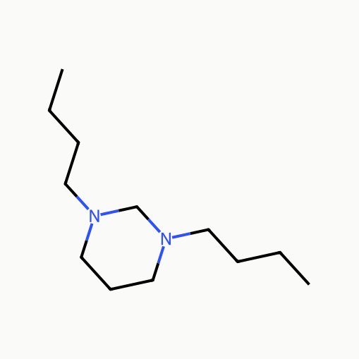 CCCCN1CCCN(CCCC)C1